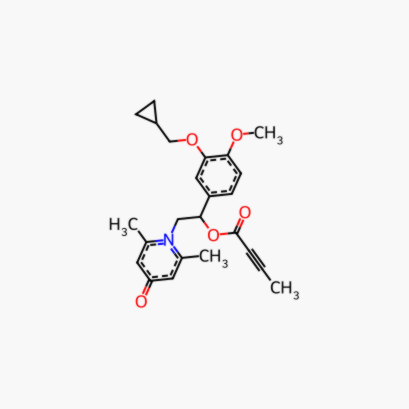 CC#CC(=O)OC(Cn1c(C)cc(=O)cc1C)c1ccc(OC)c(OCC2CC2)c1